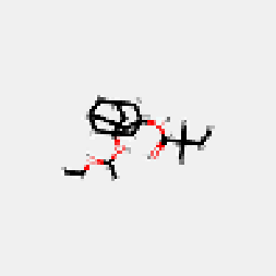 CCOC(C)OC12CC3CC(CC(OC(=O)C(C)(C)CC)(C3)C1)C2